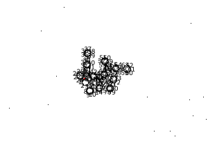 C1=CCCC(C2(c3ccccc3)c3cccc4c3-n3c5c2cc(N(c2ccccc2)c2ccc(-c6ccccc6)cc2)cc5c2cc(N(c5ccccc5)c5ccc(C6C=CC=CC6)cc5)cc(c23)C4(c2ccccc2)c2ccccc2)=C1